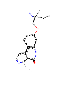 Cc1nccc2c1c(=O)[nH]c1c(F)c(OCC(C)(N)CC(C)C)ccc12